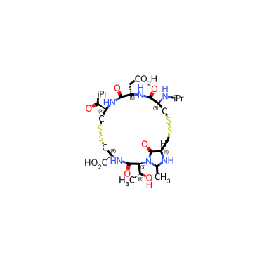 CC(C)N[C@H]1CSSC[C@@H]2NC(C)N(C2=O)[C@@H]([C@@H](C)O)C(=O)N[C@H](C(=O)O)CSSC[C@@H](C(=O)C(C)C)NC(=O)[C@H](CC(=O)O)NC1=O